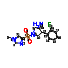 Cn1cnc(S(=O)(=O)N2CC(N)C(c3ccccc3F)C2)c1